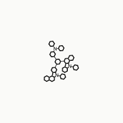 c1ccc(N(c2ccccc2)c2cccc(-c3cc(-c4ccc5c6c7ccccc7ccc6n(-c6ccccc6)c5c4)cc(-c4cc5ccccc5c5c4c4ccccc4n5-c4ccccc4)c3)c2)cc1